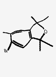 Cc1cc2c(cc1Br)C(C)(C)OC2(C)C